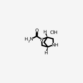 Cl.NC(=O)N1C[C@@H]2C[C@H]1CN2